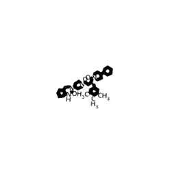 Cc1cc(C[C@@H](CC(=O)N2CCC(N3CCc4ccccc4NC3=O)CC2)C(=O)N2CCC(C3CCCCC3)CC2)cc(C)c1C